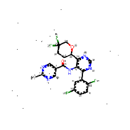 CC(C)c1ncc(C(=O)Nc2c(-c3cc(F)ccc3F)ncnc2C2CCC(F)(F)CO2)cn1